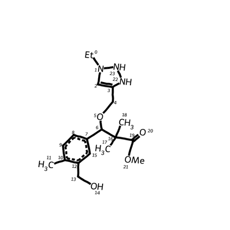 CCN1C=C(COC(c2ccc(C)c(CO)c2)C(C)(C)C(=O)OC)NN1